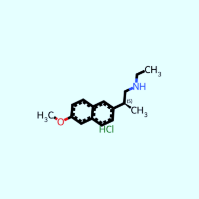 CCNC[C@@H](C)c1ccc2cc(OC)ccc2c1.Cl